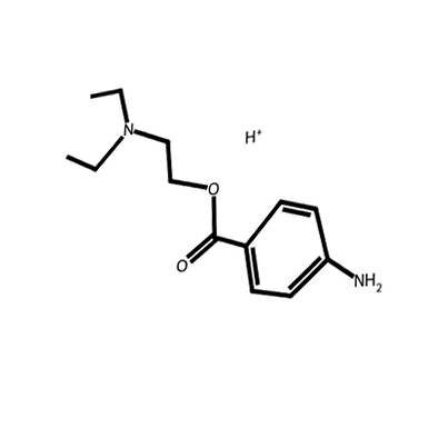 CCN(CC)CCOC(=O)c1ccc(N)cc1.[H+]